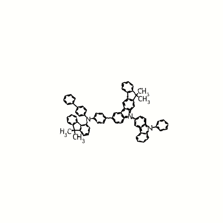 CC1(C)c2ccccc2-c2cc3c4cc(-c5ccc(N(c6ccc(-c7ccccc7)cc6)c6cccc7c6-c6ccccc6C7(C)C)cc5)ccc4n(-c4ccc5c(c4)c4ccccc4n5-c4ccccc4)c3cc21